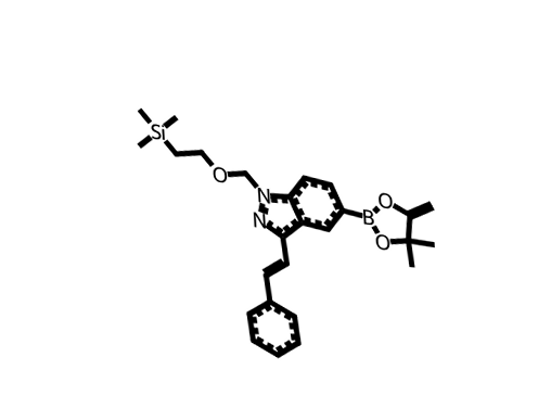 C=C1OB(c2ccc3c(c2)c(/C=C/c2ccccc2)nn3COCC[Si](C)(C)C)OC1(C)C